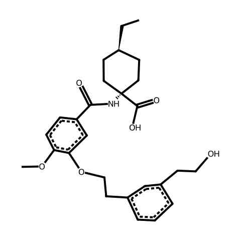 CC[C@H]1CC[C@@](NC(=O)c2ccc(OC)c(OCCc3cccc(CCO)c3)c2)(C(=O)O)CC1